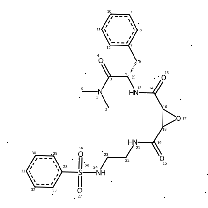 CN(C)C(=O)[C@H](Cc1ccccc1)NC(=O)C1OC1C(=O)NCCNS(=O)(=O)c1ccccc1